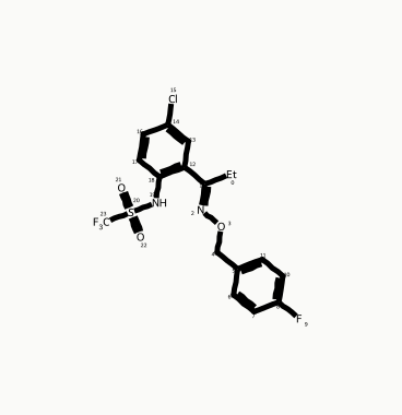 CC/C(=N\OCc1ccc(F)cc1)c1cc(Cl)ccc1NS(=O)(=O)C(F)(F)F